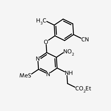 CCOC(=O)CNc1nc(SC)nc(Oc2cc(C#N)ccc2C)c1[N+](=O)[O-]